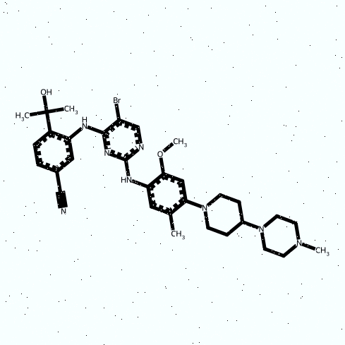 COc1cc(N2CCC(N3CCN(C)CC3)CC2)c(C)cc1Nc1ncc(Br)c(Nc2cc(C#N)ccc2C(C)(C)O)n1